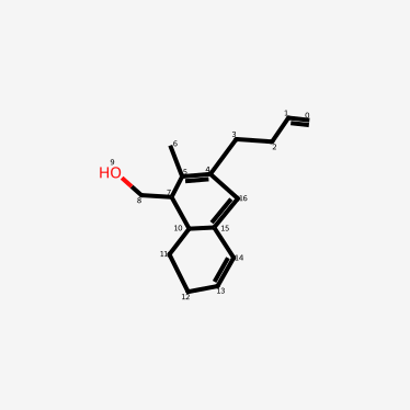 C=CCCC1=C(C)C(CO)C2CCC=CC2=C1